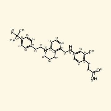 O=C(O)CCc1ccc(NCc2cccc3c2CCCN3CCc2ccc(C(F)(F)F)cc2)cc1F